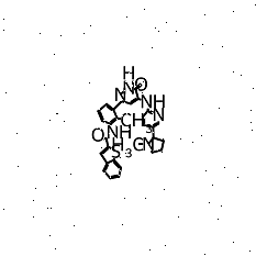 Cc1c(NC(=O)c2cc3ccccc3s2)cccc1-c1cc(Nc2ccc(C3CCCN3C)cn2)c(=O)[nH]n1